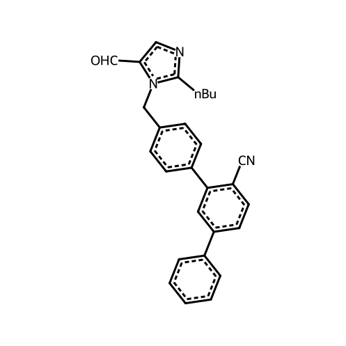 CCCCc1ncc(C=O)n1Cc1ccc(-c2cc(-c3ccccc3)ccc2C#N)cc1